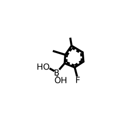 Cc1ccc(F)c(B(O)O)c1C